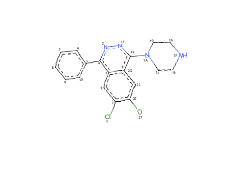 Clc1cc2c(-c3ccccc3)nnc(N3CCNCC3)c2cc1Cl